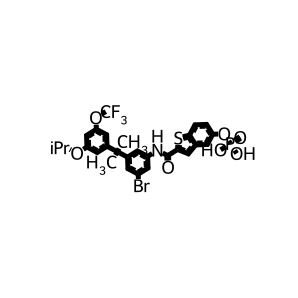 CC(C)Oc1cc(OC(F)(F)F)cc(C(C)(C)c2cc(Br)cc(NC(=O)c3cc4cc(OP(=O)(O)O)ccc4s3)c2)c1